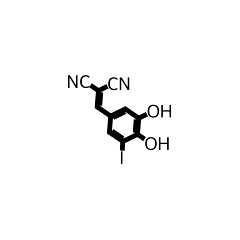 N#CC(C#N)=Cc1cc(O)c(O)c(I)c1